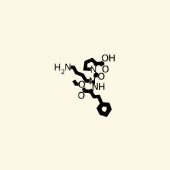 CCOC(=O)C(CCc1ccccc1)NN(CCCCN)C(=O)N1CCCC1C(=O)O